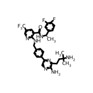 C[C@H](NC(=O)c1cc(C(F)(F)F)cnc1NCc1ccc(-c2cnc(N)c(CCC(C)(C)N)n2)cc1)c1ccc(F)c(F)c1